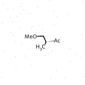 COC[C@@H](C)C(C)=O